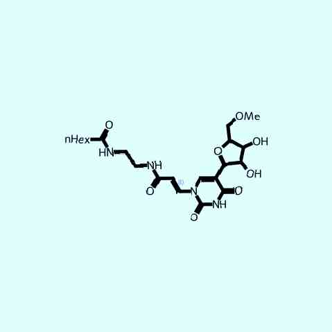 CCCCCCC(=O)NCCNC(=O)/C=C/n1cc(C2OC(COC)C(O)C2O)c(=O)[nH]c1=O